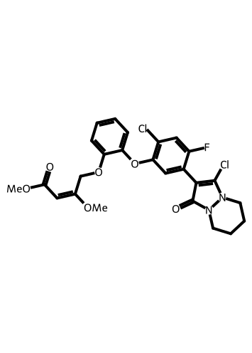 COC(=O)/C=C(\COc1ccccc1Oc1cc(-c2c(Cl)n3n(c2=O)CCCC3)c(F)cc1Cl)OC